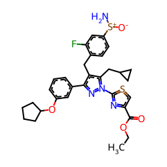 CCOC(=O)c1csc(-n2nc(-c3cccc(OC4CCCC4)c3)c(Cc3ccc([S+](N)[O-])cc3F)c2CC2CC2)n1